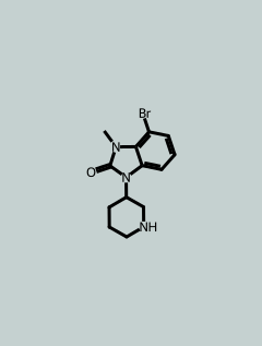 Cn1c(=O)n(C2CCCNC2)c2cccc(Br)c21